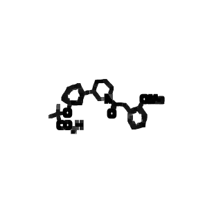 COc1ccccc1CC(=O)N1CCCC(c2cccc(OC(C)(C)C(=O)O)c2)C1